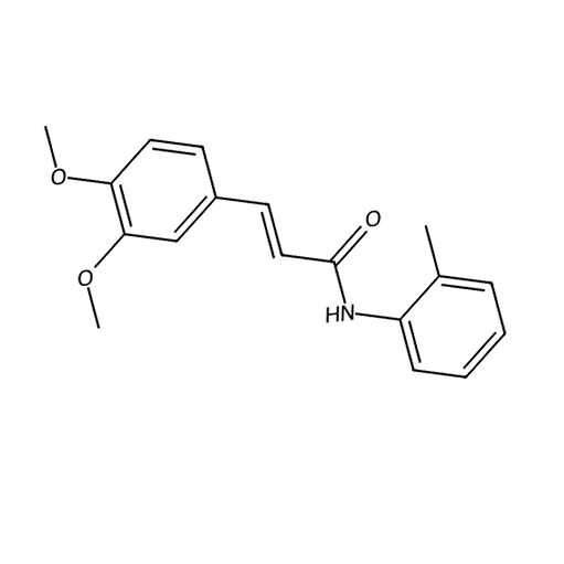 COc1ccc(C=CC(=O)Nc2ccccc2C)cc1OC